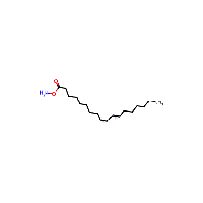 CCCCCC/C=C/C=C\CCCCCCCC(=O)ON